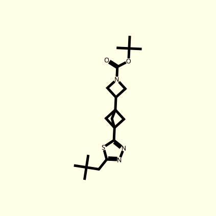 CC(C)(C)Cc1nnc(C23CC(C4CN(C(=O)OC(C)(C)C)C4)(C2)C3)s1